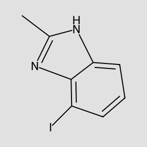 Cc1nc2c(I)cccc2[nH]1